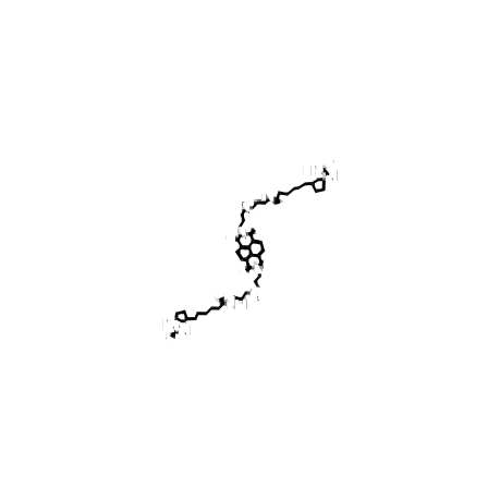 CN(CCCNC(=O)CCCCCC1CCC2NC(=O)NC12)CCCN1C(=O)c2ccc3c4c(ccc(c24)C1=O)C(=O)N(CCCN(C)CCCNC(=O)CCCCCC1CCC2NC(=O)NC12)C3=O